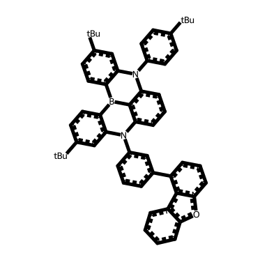 CC(C)(C)c1ccc(N2c3cc(C(C)(C)C)ccc3B3c4ccc(C(C)(C)C)cc4N(c4cccc(-c5cccc6oc7ccccc7c56)c4)c4cccc2c43)cc1